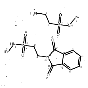 CC(C)NS(=O)(=O)CCN.CC(C)NS(=O)(=O)CCN1C(=O)c2ccccc2C1=O